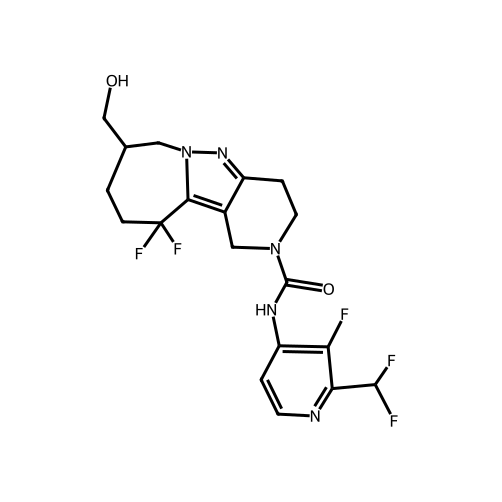 O=C(Nc1ccnc(C(F)F)c1F)N1CCc2nn3c(c2C1)C(F)(F)CCC(CO)C3